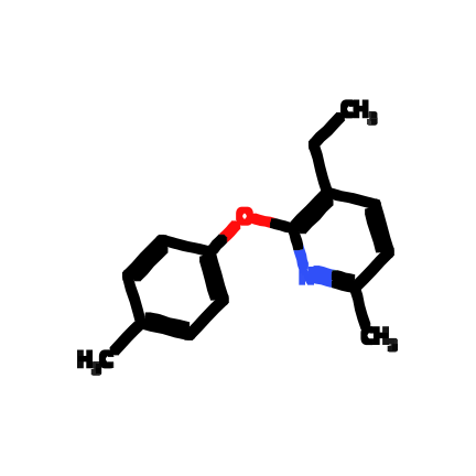 CCc1ccc(C)nc1Oc1ccc(C)cc1